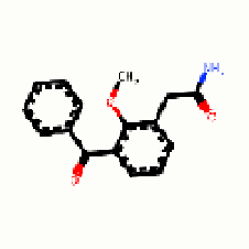 COc1c(CC(N)=O)cccc1C(=O)c1ccccc1